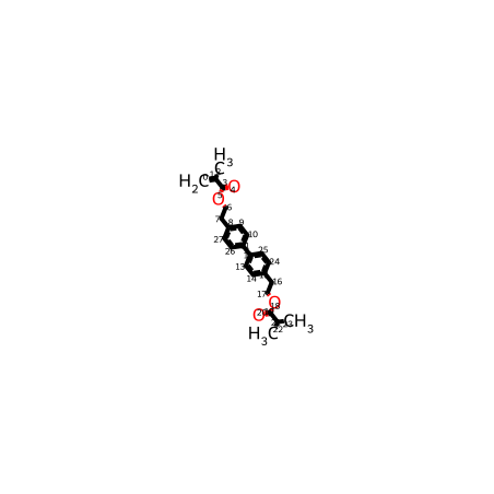 C=C(C)C(=O)OCCc1ccc(-c2ccc(CCOC(=O)C(C)C)cc2)cc1